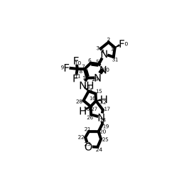 F[C@@H]1CCN(c2cc(C(F)(F)F)c(N[C@H]3C[C@@H]4CN(CC5CCOCC5)C[C@@H]4C3)nn2)C1